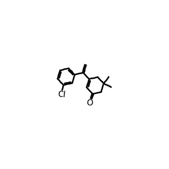 C=C(C1=CC(=O)CC(C)(C)C1)c1cccc(Cl)c1